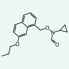 CCCOc1ccc2cccc(CON(C=O)C3CC3)c2c1